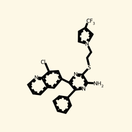 Nc1nc(-c2ccccc2)c(-c2cc(Cl)c3ncccc3c2)nc1SCCn1ccc(C(F)(F)F)c1